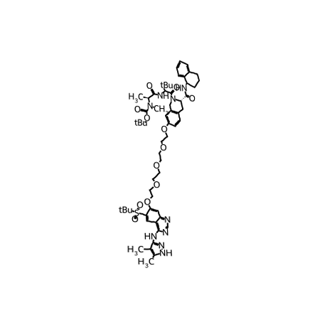 Cc1[nH]nc(Nc2ncnc3cc(OCCOCCOCCOCCOc4ccc5c(c4)CN(C(=O)C(NC(=O)[C@H](C)N(C)C(=O)OC(C)(C)C)C(C)(C)C)[C@H](C(=O)N[C@@H]4CCCc6ccccc64)C5)c(S(=O)(=O)C(C)(C)C)cc23)c1C